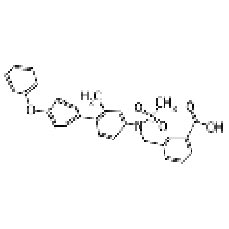 Cc1cc(N(Cc2cccc(C(=O)O)c2)S(C)(=O)=O)ccc1-c1ccc(Oc2ccccc2)cc1